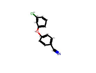 N#Cc1ccc(Oc2cc[c]c(Cl)c2)cc1